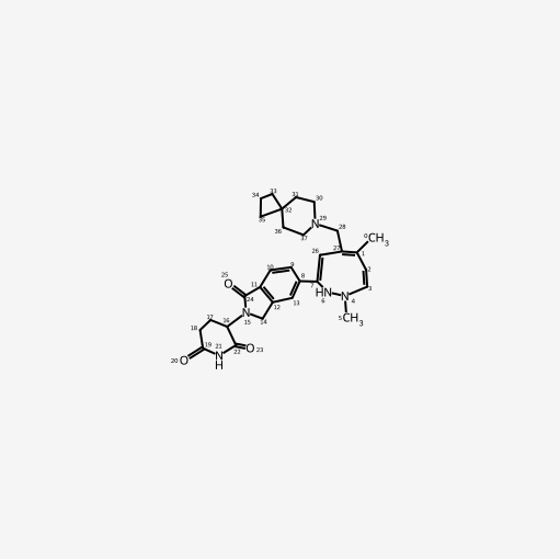 Cc1ccn(C)[nH]c(-c2ccc3c(c2)CN(C2CCC(=O)NC2=O)C3=O)cc1CN1CCC2(CCC2)CC1